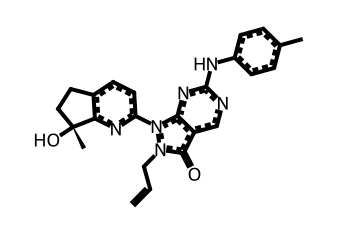 C=CCn1c(=O)c2cnc(Nc3ccc(C)cc3)nc2n1-c1ccc2c(n1)[C@](C)(O)CC2